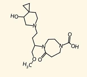 COCC(CCN1CCC2(CC2)C(O)C1)N1CCN(C(=O)O)CCC1=O